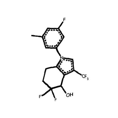 Cc1cc(F)cc(-n2cc(C(F)(F)F)c3c2CCC(F)(F)C3O)c1